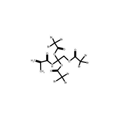 C=C(C)C(=O)NC(COC(=O)C(Br)(Br)Br)(OC(=O)C(Br)(Br)Br)OC(=O)C(Br)(Br)Br